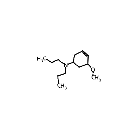 CCCN(CCC)C1[CH]C=C[C](OC)C1